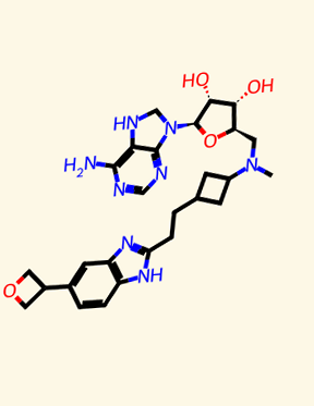 CN(C[C@H]1O[C@@H](N2CNc3c(N)ncnc32)[C@H](O)[C@@H]1O)C1CC(CCc2nc3cc(C4COC4)ccc3[nH]2)C1